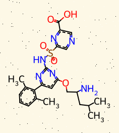 Cc1cccc(C)c1-c1cc(OCC(N)CC(C)C)nc(NS(=O)(=O)c2cncc(C(=O)O)n2)n1